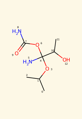 CC(C)OC(N)(OC(N)=O)C(C)O